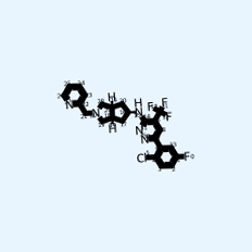 Fc1ccc(Cl)c(-c2cc(C(F)(F)F)c(N[C@H]3C[C@@H]4CN(Cc5ccccn5)C[C@@H]4C3)nn2)c1